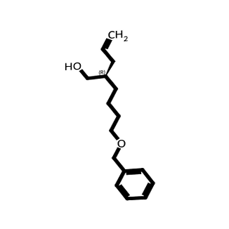 C=CC[C@H](CO)CCCCOCc1ccccc1